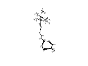 CC(C)(C)[Si](C)(C)OCCCOc1ccc(I)cc1